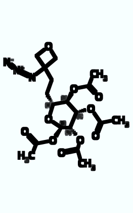 CC(=O)O[C@H]1O[C@H](CCC2(N=[N+]=[N-])COC2)[C@@H](OC(C)=O)[C@H](OC(C)=O)[C@@H]1OC(C)=O